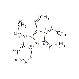 C=Cc1c(=C/C)/c(=C\C)n2c1/c(=C\C)c1ccccc12